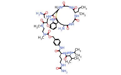 CC[C@H](C)[C@@H]1NC(=O)CNC(=O)[C@@H](N)Cc2c3[nH]c4cc(ccc24)OC(C(=O)N(C)CCN(C)C(=O)OCc2ccc(NC(=O)[C@H](CCCNC(N)=O)NC(=O)[C@@H](NC(C)C)C(C)C)cc2)[C@H](CC(N)=O)NC(=O)[C@H](CS3)NC(=O)CNC1=O